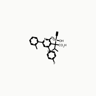 C#CP(=O)(O)C(C(=O)O)(c1c(-c2ccc(F)cc2)cc(-c2ccccc2C)nc1C(C)C)C(C)O